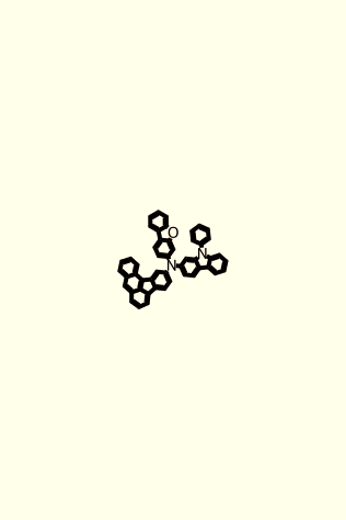 c1ccc(-n2c3ccccc3c3ccc(N(c4ccc5c(c4)-c4c6ccccc6cc6cccc-5c46)c4ccc5c(c4)oc4ccccc45)cc32)cc1